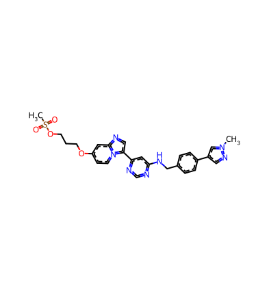 Cn1cc(-c2ccc(CNc3cc(-c4cnc5cc(OCCCOS(C)(=O)=O)ccn45)ncn3)cc2)cn1